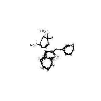 CC1(C(=O)O)C=CC=C(C(=O)O)C1.c1ccc(Cc2cc3ccccc3[nH]2)cc1